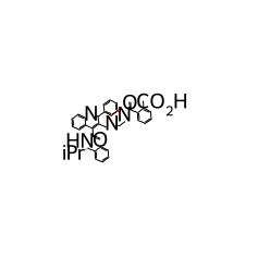 CC(C)[C@H](NC(=O)c1c(CN2CCN(C(=O)c3ccccc3C(=O)O)CC2)c(-c2ccccc2)nc2ccccc12)c1ccccc1